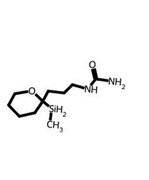 C[SiH2]C1(CCCNC(N)=O)CCCCO1